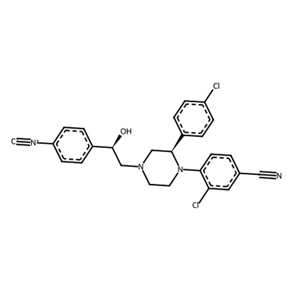 [C-]#[N+]c1ccc([C@@H](O)CN2CCN(c3ccc(C#N)cc3Cl)[C@H](c3ccc(Cl)cc3)C2)cc1